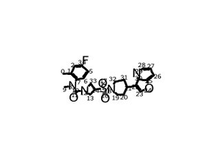 Cc1cc(F)ccc1N(C)C(=O)N1CC(S(=O)(=O)N2CCC(c3coc4cccnc34)CC2)C1